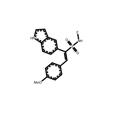 COc1ccc(/C=C(\c2ccc3[nH]ccc3c2)S(=O)(=O)NF)cc1